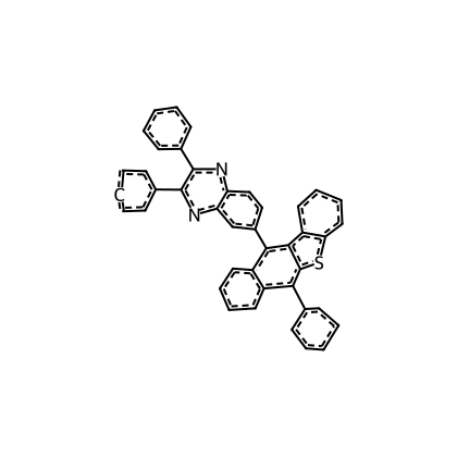 c1ccc(-c2nc3ccc(-c4c5ccccc5c(-c5ccccc5)c5sc6ccccc6c45)cc3nc2-c2ccccc2)cc1